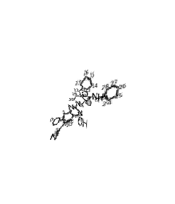 COc1cc2nc(N3CCC(Cc4ccccc4)(OC(=O)NCc4ccccc4)CC3)nc(O)c2cc1C#N